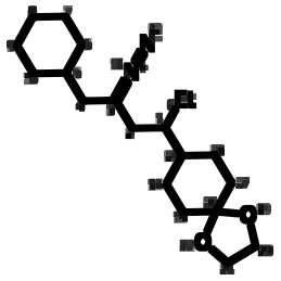 CCC(CC(CC1CCCCC1)=[N+]=[N-])C1CCC2(CC1)OCCO2